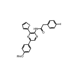 COc1ccc(-c2cnc(NC(=O)Cc3ccc(I)cc3)c(-c3cccs3)n2)cc1